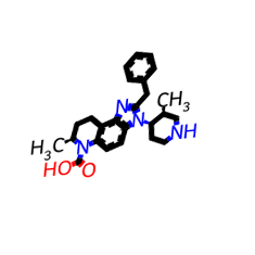 C[C@H]1CNCC[C@H]1n1c(Cc2ccccc2)nc2c3c(ccc21)N(C(=O)O)[C@@H](C)CC3